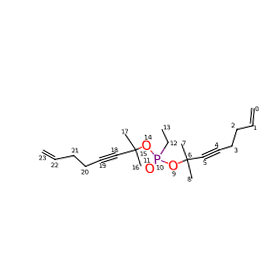 C=CCCC#CC(C)(C)OP(=O)(CC)OC(C)(C)C#CCCC=C